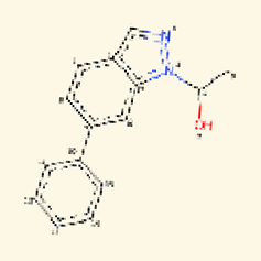 CC(O)n1ncc2ccc(-c3ccccc3)[c]c21